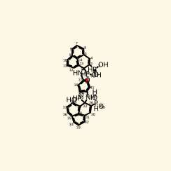 O=[PH](O)C1=Cc2cccc3cccc(c23)C1(Nc1ccc(NC2([PH](=O)O)C([PH](=O)O)=Cc3cccc4cccc2c34)cc1)[PH](=O)O